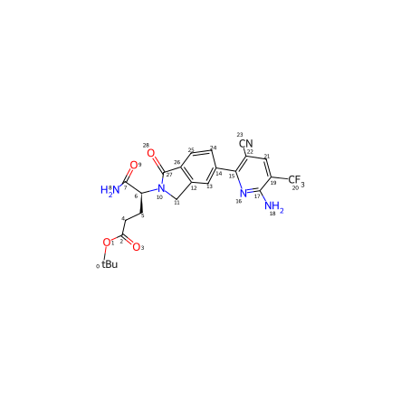 CC(C)(C)OC(=O)CC[C@@H](C(N)=O)N1Cc2cc(-c3nc(N)c(C(F)(F)F)cc3C#N)ccc2C1=O